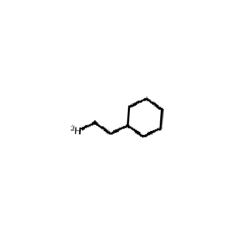 [2H][CH]CC1CCCCC1